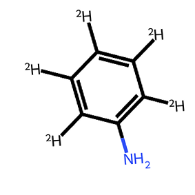 [2H]c1c([2H])c([2H])c(N)c([2H])c1[2H]